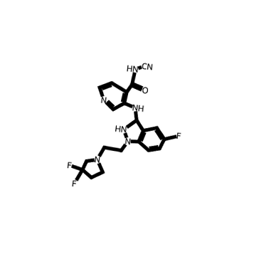 N#CNC(=O)c1ccncc1NC1NN(CCN2CCC(F)(F)C2)c2ccc(F)cc21